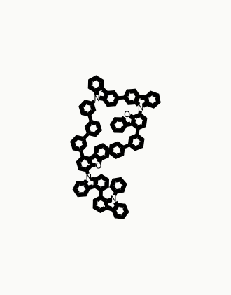 c1ccc(-c2cccc(-c3ccc(-n4c5ccccc5c5ccc(-c6ccc7c(c6)c6ccccc6n7-c6cccc(-c7cccc(-c8cccc(-c9ccc(-n%10c%11ccccc%11c%11c(-c%12cccc%13c%14ccccc%14n(-c%14ccccc%14)c%12%13)cccc%11%10)c%10oc%11ccccc%11c9%10)c8)c7)c6)cc54)c4oc5ccccc5c34)c2)cc1